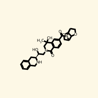 CC1(C)CN(CC(O)[C@@H]2Cc3ccccc3CN2)C(=O)c2ccc(C(=O)N3C4COC5C4OCC53)cc21